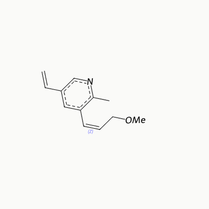 C=Cc1cnc(C)c(/C=C\COC)c1